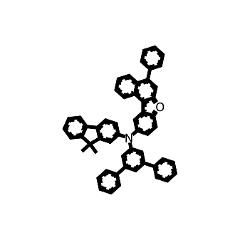 CC1(C)c2ccccc2-c2ccc(N(c3cc(-c4ccccc4)cc(-c4ccccc4)c3)c3ccc4oc5cc(-c6ccccc6)c6ccccc6c5c4c3)cc21